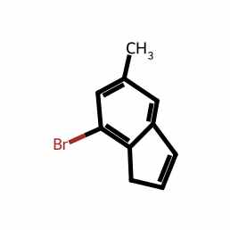 Cc1cc(Br)c2c(c1)C=CC2